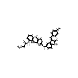 C=CC(=O)Nc1ccccc1Nc1nc(Nc2ccc3c(c2)/C(=C/c2ccc(C(C)C)cc2)C(=O)N3)ncc1Cl